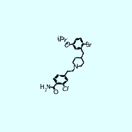 CC(C)Oc1ccc(Br)c(CC2CCN(CCc3ccc(C(N)=O)c(Cl)c3)CC2)c1